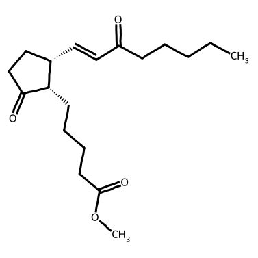 CCCCCC(=O)/C=C/[C@H]1CCC(=O)[C@H]1CCCCC(=O)OC